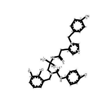 CC(C)(CN(Cc1cccc(Cl)c1Cl)C(=S)Nc1ccc(Cl)cc1)NC(=O)Cc1cncn1Cc1ccc(C#N)cc1